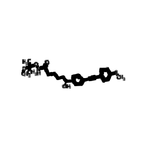 COC(C)(C)ONC(=O)CCCC[C@@H](O)c1ccc(C#Cc2ccc(SC)cc2)cc1